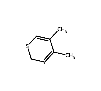 CC1=[C]CSC=C1C